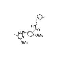 CNc1cc(C)nc(Nc2ccc(OC)c(C(=O)NCCN3CC[C@H](C)C3)c2)n1